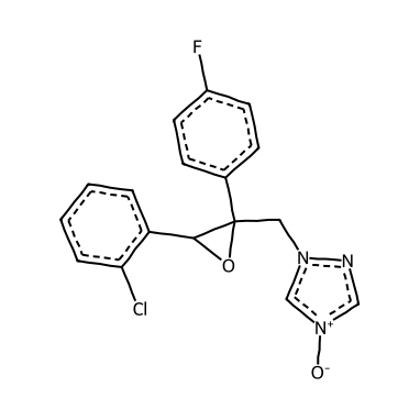 [O-][n+]1cnn(CC2(c3ccc(F)cc3)OC2c2ccccc2Cl)c1